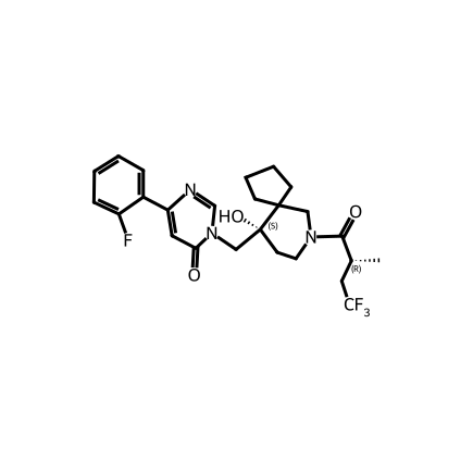 C[C@H](CC(F)(F)F)C(=O)N1CC[C@@](O)(Cn2cnc(-c3ccccc3F)cc2=O)C2(CCCC2)C1